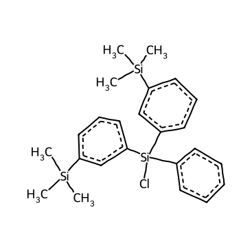 C[Si](C)(C)c1cccc([Si](Cl)(c2ccccc2)c2cccc([Si](C)(C)C)c2)c1